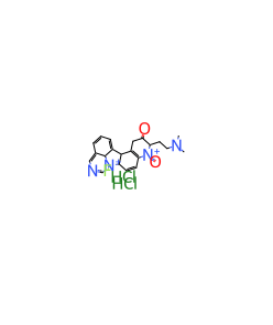 CN(C)CCC1C(=O)CC2=C(C=CC3C2C2=CC=CC4=CN=C[N+]3(F)C42)[N+]1=O.Cl.Cl